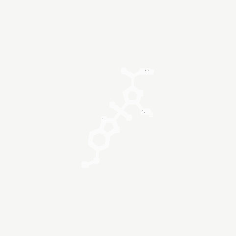 CCOc1ccc2nc(S(=O)(=O)c3cc(C(=O)OC)sc3[N+](=O)[O-])sc2c1